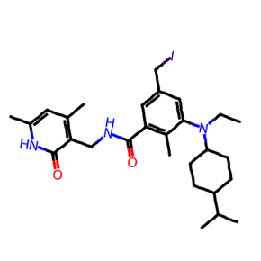 CCN(c1cc(CI)cc(C(=O)NCc2c(C)cc(C)[nH]c2=O)c1C)C1CCC(C(C)C)CC1